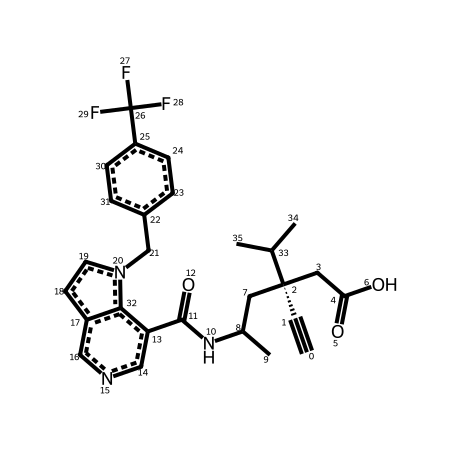 C#C[C@](CC(=O)O)(CC(C)NC(=O)c1cncc2ccn(Cc3ccc(C(F)(F)F)cc3)c12)C(C)C